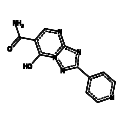 NC(=O)c1cnc2nc(-c3ccncc3)nn2c1O